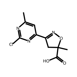 Cc1cc(C2=NOC(C)(C(=O)O)C2)nc(Cl)n1